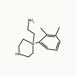 Cc1cccc([N+]2(CCN)CCNCC2)c1C